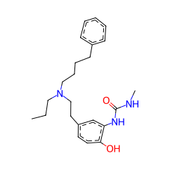 CCCN(CCCCc1ccccc1)CCc1ccc(O)c(NC(=O)NC)c1